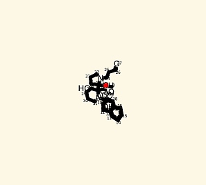 COCC1(C2(NS(=O)(=O)c3ccc4ccccc4c3)C(O)CCN2CCC=O)CCCCN1C(=O)O